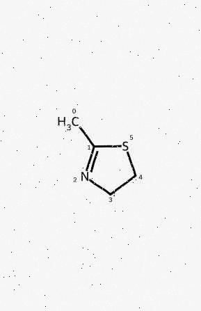 CC1=N[C]CS1